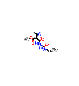 CCCCNC(=O)Nc1onc(C)c1C(=O)OCCC